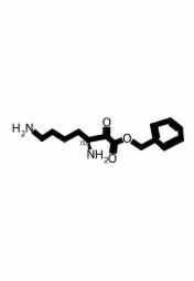 NCCCC[C@H](N)C(=O)C(=O)OCc1ccccc1